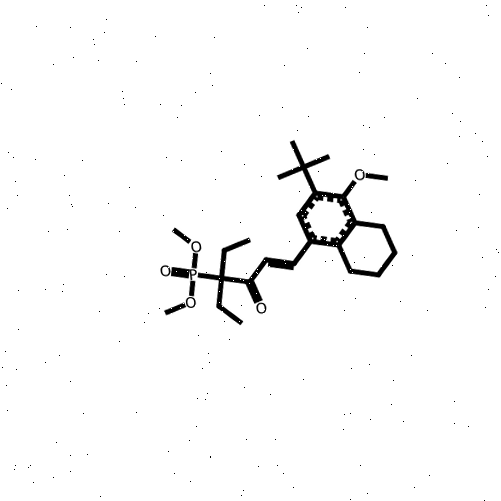 CCC(CC)(C(=O)C=Cc1cc(C(C)(C)C)c(OC)c2c1CCCC2)P(=O)(OC)OC